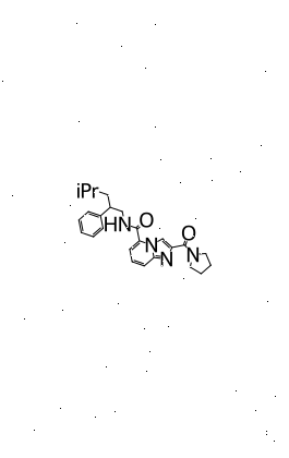 CC(C)CC(CNC(=O)c1cccc2nc(C(=O)N3CCCC3)cn12)c1ccccc1